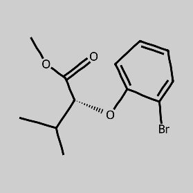 COC(=O)[C@H](Oc1ccccc1Br)C(C)C